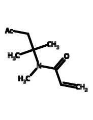 C=CC(=O)N(C)C(C)(C)CC(C)=O